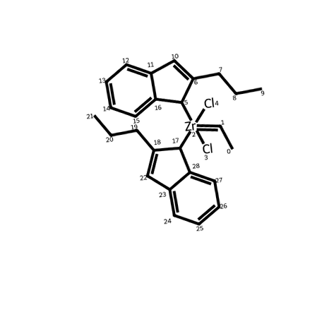 C[CH]=[Zr]([Cl])([Cl])([CH]1C(CCC)=Cc2ccccc21)[CH]1C(CCC)=Cc2ccccc21